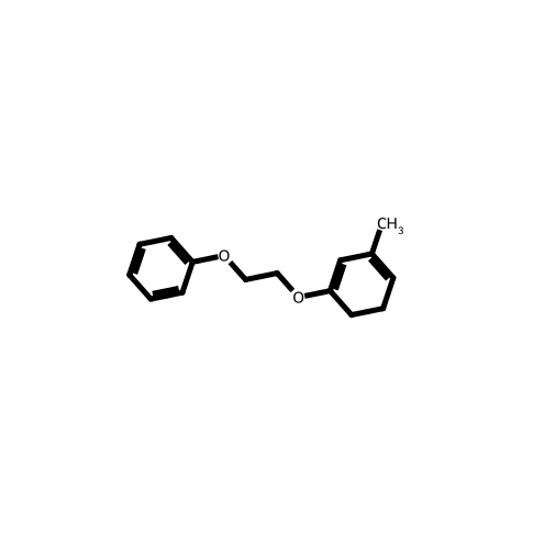 CC1=CCCC(OCCOc2ccccc2)=C1